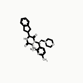 CC[C@H](C)[C@@H]1C(=O)NC(C2Cc3ccccc3C2)C(=O)N1[C@@H](CN1CCOCC1)c1ccc(C)nc1C